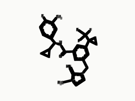 Cc1cc([C@@H](NC(=O)c2cc(Cn3ccn(C)c3=N)cc(C3(C(F)(F)F)CC3)c2)C2CC2)ccc1F